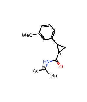 COc1cccc(C2C[C@H]2C(=O)N[C@H](C(C)=O)C(C)(C)C)c1